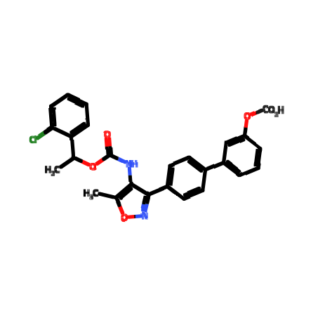 Cc1onc(-c2ccc(-c3cccc(OC(=O)O)c3)cc2)c1NC(=O)OC(C)c1ccccc1Cl